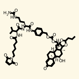 CCCC1O[C@@H]2CC3[C@@H]4CCC5=CC(=O)C=C[C@]5(C)[C@H]4[C@@H](O)C[C@]3(C)[C@]2(C(=O)COC(=O)OCc2ccc(NC(=O)[C@H](CCCNC(N)=O)NC(=O)[C@@H](NC(=O)CCCCCN3C(=O)C=CC3=O)C(C)C)cc2)O1